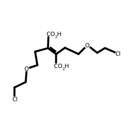 O=C(O)C(CCOCCCl)=C(CCOCCCl)C(=O)O